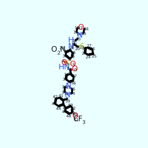 O=C(NS(=O)(=O)c1ccc(N[C@H](CCN2CCOCC2)CSc2ccccc2)c([N+](=O)[O-])c1)c1ccc(N2CCN(Cc3ccccc3-c3ccc(OC(F)(F)F)cc3)CC2)cc1